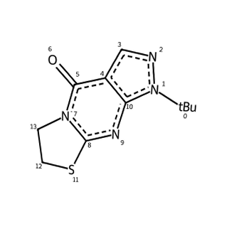 CC(C)(C)n1ncc2c(=O)n3c(nc21)SCC3